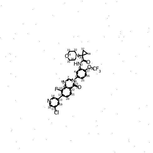 O=C(Nc1cc(-n2cnc3c(F)c(-c4cncc(Cl)c4)ccc3c2=O)ccc1OC(F)(F)F)C1(N2CCOCC2)CC1